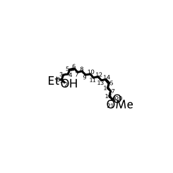 CCC(O)CC/C=C\CCCCCCC/C=C\CCCC(=O)OC